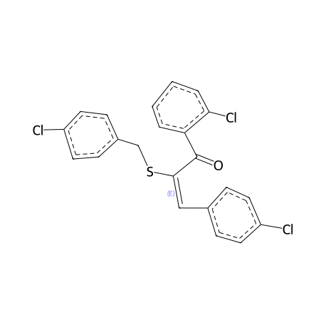 O=C(/C(=C\c1ccc(Cl)cc1)SCc1ccc(Cl)cc1)c1ccccc1Cl